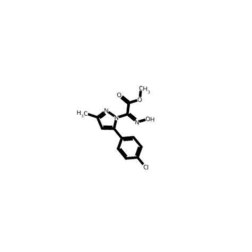 COC(=O)/C(=N\O)n1nc(C)cc1-c1ccc(Cl)cc1